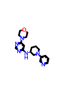 c1cncc(N2CCC[C@@H](Nc3cc(N4CCOCC4)ncn3)C2)c1